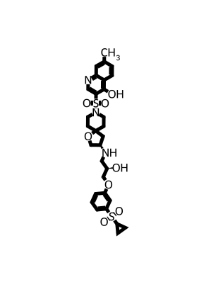 Cc1ccc2c(O)c(S(=O)(=O)N3CCC4(CC3)C[C@@H](NC[C@H](O)COc3cccc(S(=O)(=O)C5CC5)c3)CO4)cnc2c1